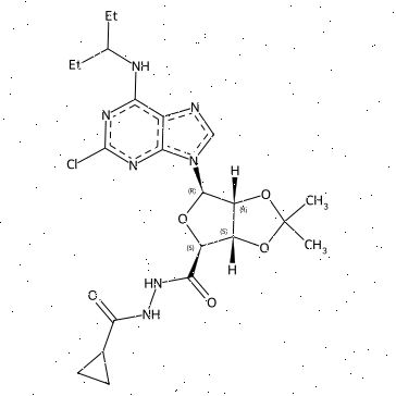 CCC(CC)Nc1nc(Cl)nc2c1ncn2[C@@H]1O[C@H](C(=O)NNC(=O)C2CC2)[C@H]2OC(C)(C)O[C@H]21